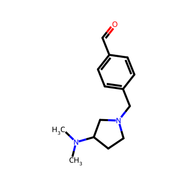 CN(C)C1CCN(Cc2ccc(C=O)cc2)C1